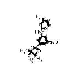 C=C1OB(c2cc(N=O)cc(Nc3nccc(C(F)(F)F)n3)c2)OC1(C)C